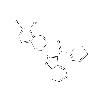 [O]c1ccc2cc(-c3oc4ccccc4c3C(=O)c3ccccc3)ccc2c1Br